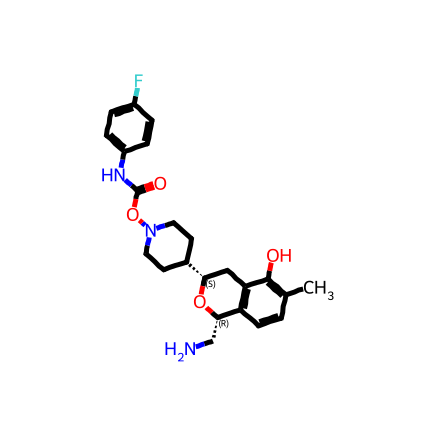 Cc1ccc2c(c1O)C[C@@H](C1CCN(OC(=O)Nc3ccc(F)cc3)CC1)O[C@H]2CN